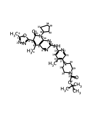 Cc1nnc(-c2c(C)c3cnc(Nc4cc(C)c(N5CCN(C(=O)OC(C)(C)C)CC5)cn4)nc3n(C3CCCC3)c2=O)o1